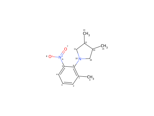 Cc1cccc([N+](=O)[O-])c1N1CC(C)C(C)C1